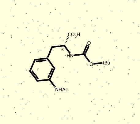 CC(=O)Nc1cccc(C[C@@H](NC(=O)OC(C)(C)C)C(=O)O)c1